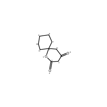 O=C1CC(=O)OC2(CCCCC2)C1